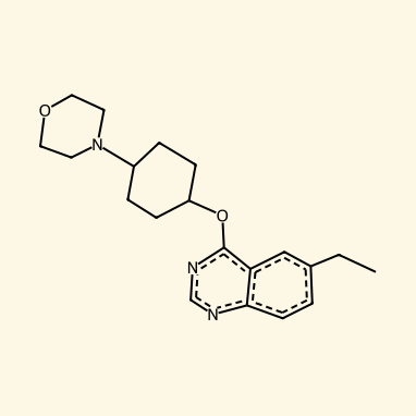 CCc1ccc2ncnc(OC3CCC(N4CCOCC4)CC3)c2c1